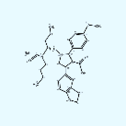 CCCCN(C=O)CCCC.COc1ccc(C2C(C(=O)O)C(c3ccc4c(c3)OCO4)CN2C)cc1.[NaH]